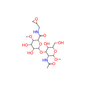 COC1OC(CO)C(O)C(OC2OC(C(=O)NCC3CO3)C(OC)C(O)C2O)C1NC(C)=O